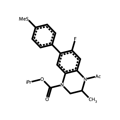 CSc1ccc(-c2cc3c(cc2F)N(C(C)=O)C(C)CN3C(=O)OC(C)C)cc1